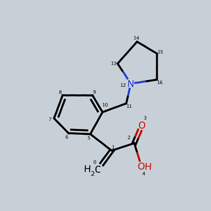 C=C(C(=O)O)c1ccccc1CN1CCCC1